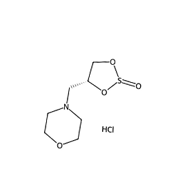 Cl.O=S1OC[C@@H](CN2CCOCC2)O1